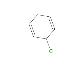 ClC1C=CCC=C1